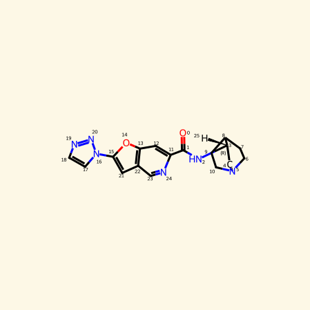 O=C(N[C@H]1CN2CCC1CC2)c1cc2oc(-n3ccnn3)cc2cn1